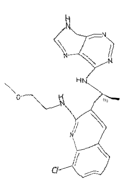 COCCNc1nc2c(Cl)cccc2cc1[C@H](C)Nc1ncnc2[nH]cnc12